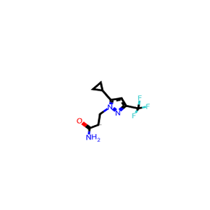 NC(=O)[CH]Cn1nc(C(F)(F)F)cc1C1CC1